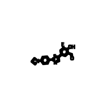 O=Cc1cc(-c2cnc(-c3ccc(N4CCC4)cc3)s2)cc(F)c1O